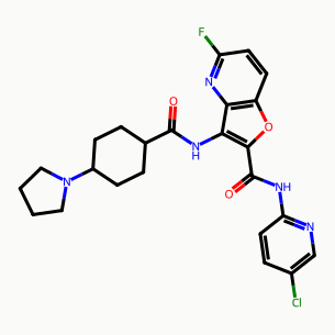 O=C(Nc1ccc(Cl)cn1)c1oc2ccc(F)nc2c1NC(=O)C1CCC(N2CCCC2)CC1